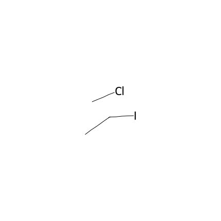 CCI.CCl